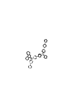 C1=CC(C2C=CC(N(c3cc4ccccc4c4ccccc34)C3C=CC(c4ccc(N(c5ccccc5)c5ccc(-c6ccc(-c7ccccc7)cc6)cc5)cc4)=CC3)=CC2)=CCC1